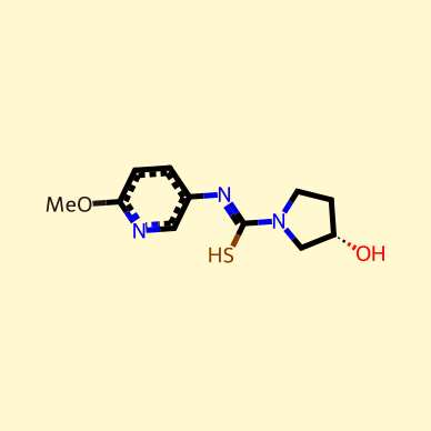 COc1ccc(/N=C(\S)N2CC[C@H](O)C2)cn1